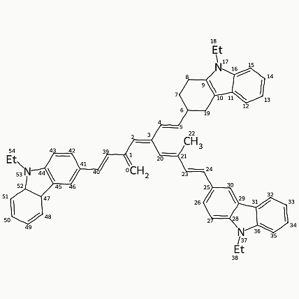 C=C(/C=C(/C=C/C1CCc2c(c3ccccc3n2CC)C1)\C=C(C)\C=C\c1ccc2c(c1)c1ccccc1n2CC)/C=C/c1ccc2c(c1)C1C=CC=CC1N2CC